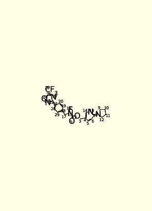 O=C(OCc1ccc(N2CCCC2)nc1)N(F)Cc1ccc(-c2noc(C(F)(F)F)n2)cc1